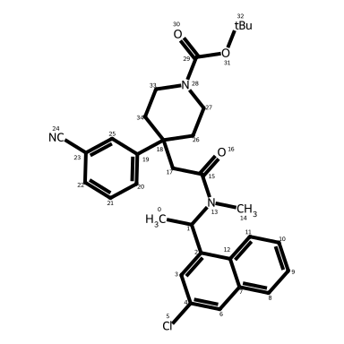 CC(c1cc(Cl)cc2ccccc12)N(C)C(=O)CC1(c2cccc(C#N)c2)CCN(C(=O)OC(C)(C)C)CC1